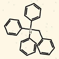 [CH](c1ccccc1)[PH](c1ccccc1)(c1ccccc1)c1ccccc1